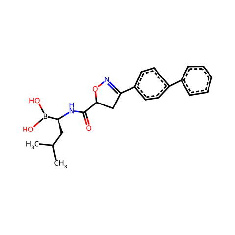 CC(C)C[C@H](NC(=O)C1CC(c2ccc(-c3ccccc3)cc2)=NO1)B(O)O